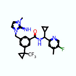 Cc1cc(C(NC(=O)c2cc(Cn3ccn(C)c3=N)cc(C3(C(F)(F)F)CC3)c2)C2CC2)ncc1F